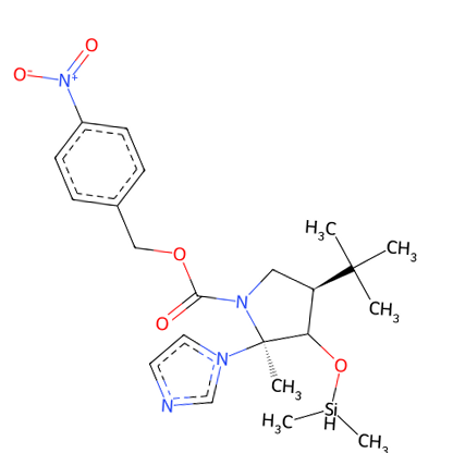 C[SiH](C)OC1[C@H](C(C)(C)C)CN(C(=O)OCc2ccc([N+](=O)[O-])cc2)[C@]1(C)n1ccnc1